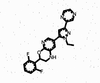 CCn1nc(-c2cnccn2)cc1-c1cnc2c(c1)NCC(c1c(F)cccc1F)O2